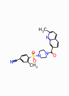 Cc1ccc2ccc(C(=O)N3CCN(S(=O)(=O)c4ccc(C#N)cc4C)CC3)cc2n1